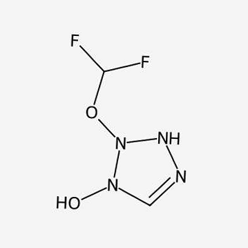 ON1C=NNN1OC(F)F